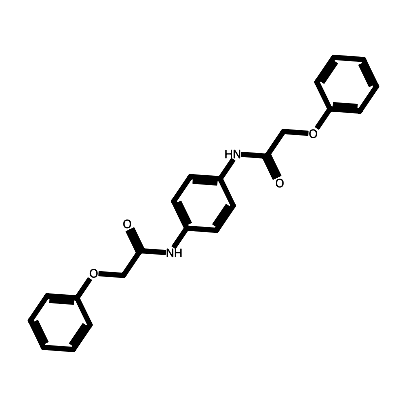 O=C(COc1ccccc1)Nc1ccc(NC(=O)COc2ccccc2)cc1